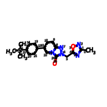 Cc1noc(Cn2nc3ccc(-c4ccc([Si](C)(C)C)cc4)cn3c2=O)n1